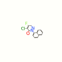 O=c1c(Cl)c(F)cnn1-c1cccc2ccccc12